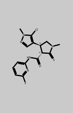 CN1C[C@H](c2cnn(C)c2Cl)[C@@H](C(=O)Nc2cccc(F)n2)C1=S